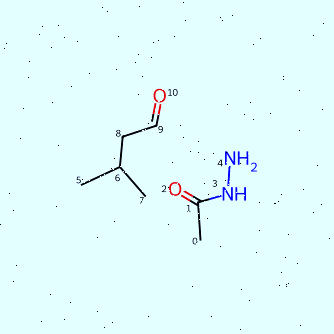 CC(=O)NN.CC(C)CC=O